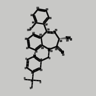 CC(C)(C)c1ccnc(CN2C(=O)[C@@H](N)N=C(c3ccccc3F)c3ccccc32)c1